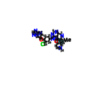 COc1ncc2ncnc(Nc3ccc(Oc4cnc5ncnn5c4)c(Cl)c3)c2c1O[C@@H]1CCN(C)CC1(F)F